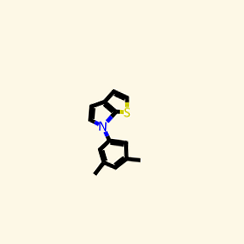 Cc1cc(C)cc(-n2ccc3ccsc32)c1